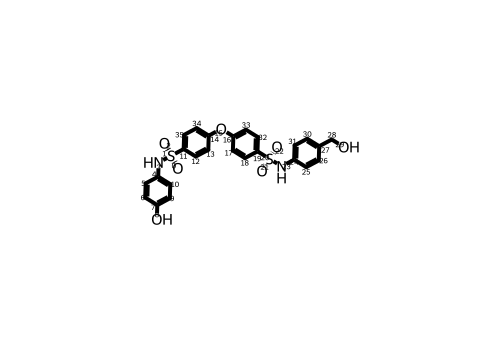 O=S(=O)(Nc1ccc(O)cc1)c1ccc(Oc2ccc(S(=O)(=O)Nc3ccc(CO)cc3)cc2)cc1